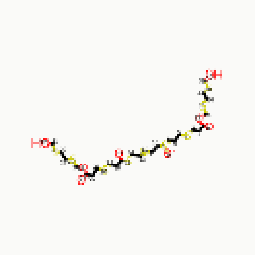 O=C(CCSCCC[S+]([O-])CCSCCSC(=O)CCSCCC(=O)OCSCCSCO)OCSCCSCO